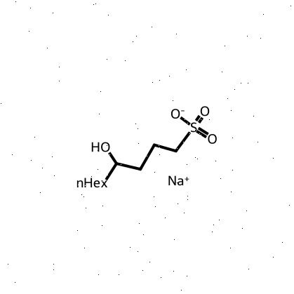 CCCCCCC(O)CCCS(=O)(=O)[O-].[Na+]